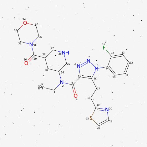 CC(C)CN(C(=O)c1nnn(-c2ccccc2F)c1CCc1nccs1)C1CNCC(C(=O)N2CCOCC2)C1